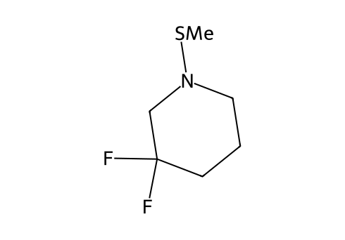 CSN1CCCC(F)(F)C1